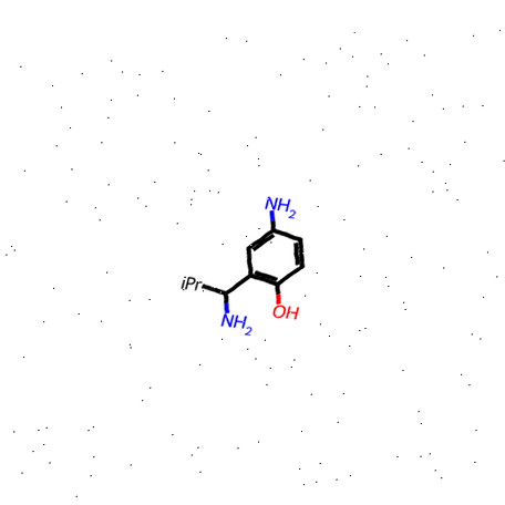 CC(C)C(N)c1cc(N)ccc1O